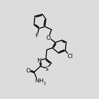 NC(=O)c1nc(Cc2cc(Cl)ccc2OCc2ccccc2F)cs1